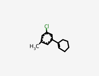 Cc1cc(Cl)cc(C2=CCCCC2)c1